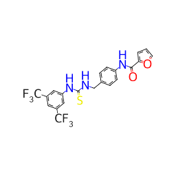 O=C(Nc1ccc(CNC(=S)Nc2cc(C(F)(F)F)cc(C(F)(F)F)c2)cc1)c1ccco1